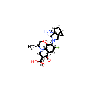 C[C@H]1COc2c(N3CC45CC4CC[C@@]5(N)C3)c(F)cc3c(=O)c(C(=O)O)cn1c23